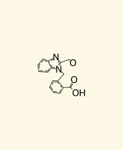 O=Cc1nc2ccccc2n1Cc1ccccc1C(=O)O